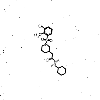 Cc1c(Cl)cccc1S(=O)(=O)N1CCCC(CC(=O)NNC2CCCCC2)C1